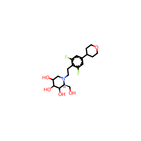 OC[C@H]1C(O)C(O)C(O)CN1CCc1c(F)cc(C2CCOCC2)cc1F